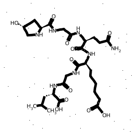 CC(C)C[C@H](NC(=O)CNC(=O)[C@H](CCCCCC(=O)O)NC(=O)[C@H](CCC(N)=O)NC(=O)CNC(=O)[C@@H]1C[C@@H](O)CN1)C(=O)O